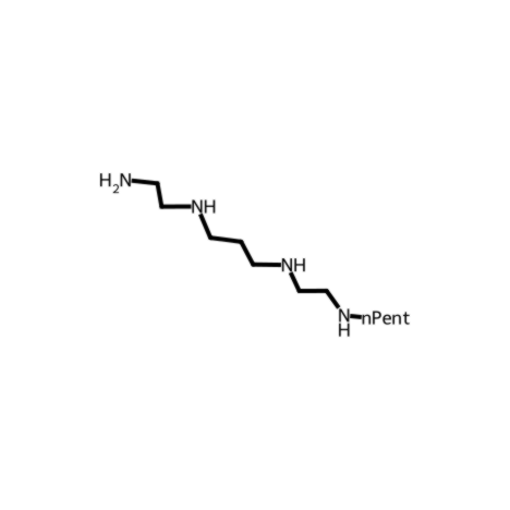 CCCCCNCCNCCCNCCN